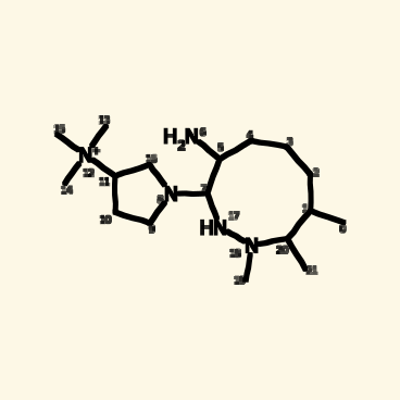 CC1CCCC(N)C(N2CCC([N+](C)(C)C)C2)NN(C)C1C